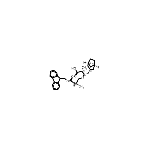 C[C@H](CO[C@H](C[C@@H]1C[C@@H]2CC[C@@H](C2)C1)[C@@H](C)C(=O)O)NC(=O)OCC1c2ccccc2-c2ccccc21